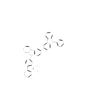 CC1(C)C2=C(CCC=C2)c2ccc(N3c4ccc(-c5ccc6c(c5)c5ccccc5n6-c5ccccc5)cc4C4C=CCCC43)cc21